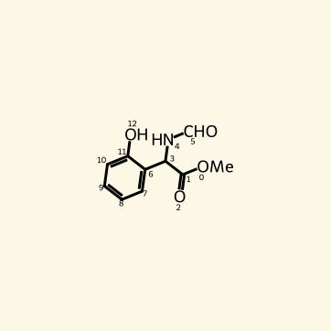 COC(=O)C(NC=O)c1ccccc1O